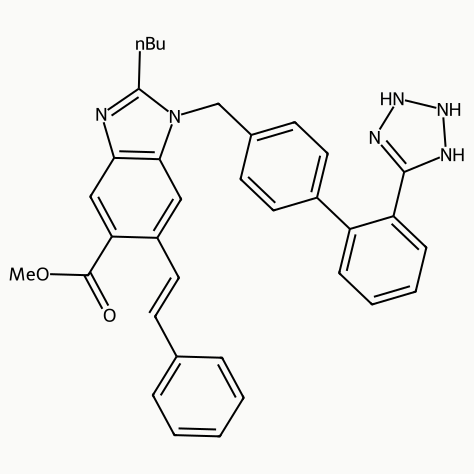 CCCCc1nc2cc(C(=O)OC)c(/C=C/c3ccccc3)cc2n1Cc1ccc(-c2ccccc2C2=NNNN2)cc1